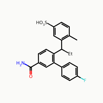 CCC(c1cc(S(=O)(=O)O)ccc1C)c1ccc(C(N)=O)cc1-c1ccc(F)cc1